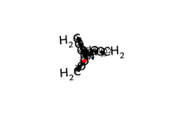 C=COCOc1nc(OCOC=C)nc(OCOC=C)n1